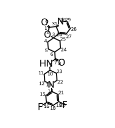 O=C1OC2(CCC(C(=O)NC3CCN(c4cc(F)cc(F)c4)CC3)CC2)c2cccnc21